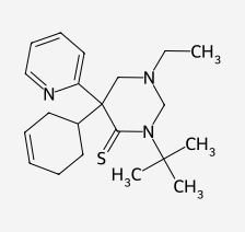 CCN1CN(C(C)(C)C)C(=S)C(c2ccccn2)(C2CC=CCC2)C1